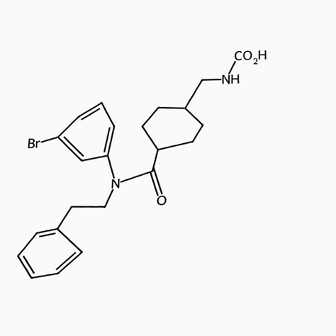 O=C(O)NCC1CCC(C(=O)N(CCc2ccccc2)c2cccc(Br)c2)CC1